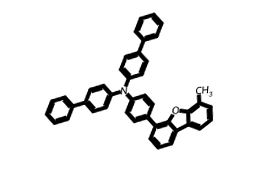 Cc1cccc2c1oc1c(-c3ccc(N(c4ccc(-c5ccccc5)cc4)c4ccc(-c5ccccc5)cc4)cc3)cccc12